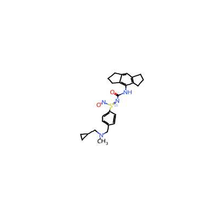 CN(Cc1ccc(/S(N=O)=N/C(=O)Nc2c3c(cc4c2CCC4)CCC3)cc1)CC1CC1